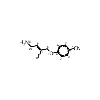 N#Cc1ccc(OC/C(F)=C/CN)cc1